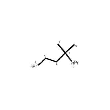 [CH2]CCC(C)(C)CCC(C)C